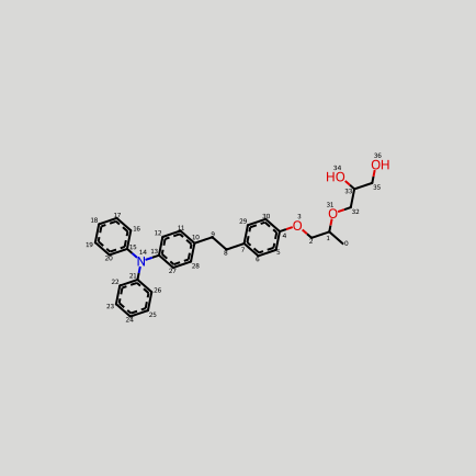 CC(COc1ccc(CCc2ccc(N(c3ccccc3)c3ccccc3)cc2)cc1)OCC(O)CO